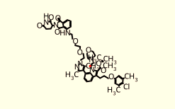 Cc1cc(OCCCc2c(C(=O)OC(C)(C)C)n(CCN3CCOCC3)c3c(-c4c(C)nn(CCCOCCOCCNc5cccc6c5C(=O)N(C5CCC(=O)NC5=O)C6=O)c4C)cccc23)cc(C)c1Cl